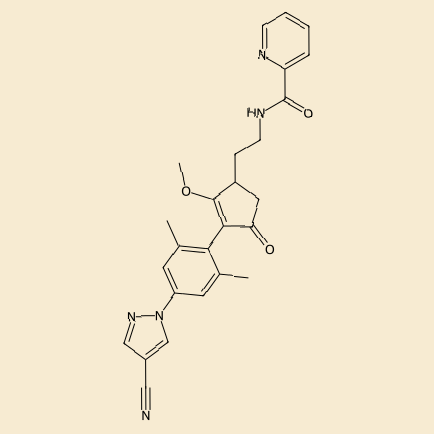 COC1=C(c2c(C)cc(-n3cc(C#N)cn3)cc2C)C(=O)CC1CCNC(=O)c1ccccn1